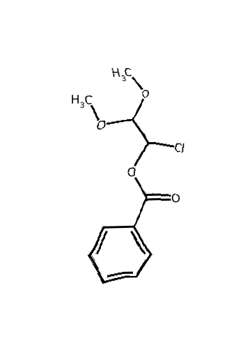 COC(OC)C(Cl)OC(=O)c1ccccc1